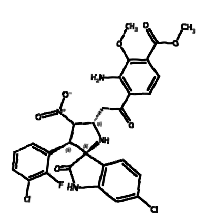 COC(=O)c1ccc(C(=O)C[C@@H]2N[C@@]3(C(=O)Nc4cc(Cl)ccc43)[C@@H](c3cccc(Cl)c3F)C2[N+](=O)[O-])c(N)c1OC